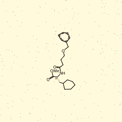 COC(=O)[C@@H](CC1CCCCC1)NC(=O)CCCOCc1ccccc1